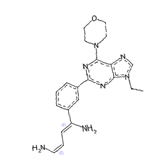 CCn1cnc2c(N3CCOCC3)nc(-c3cccc(/C(N)=C/C=C\N)c3)nc21